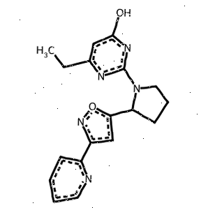 CCc1cc(O)nc(N2CCCC2c2cc(-c3ccccn3)no2)n1